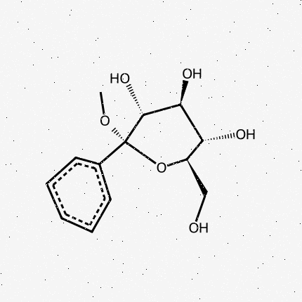 CO[C@@]1(c2ccccc2)O[C@H](CO)[C@@H](O)[C@H](O)[C@H]1O